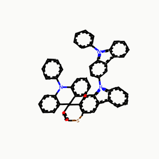 c1ccc(N2c3ccccc3C3(c4ccccc4Sc4cc5c6ccccc6n(-c6ccc7c(c6)c6ccccc6n7-c6ccccc6)c5cc43)c3ccccc32)cc1